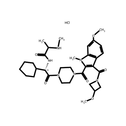 CNC(C)C(=O)N[C@H](C(=O)N1CCN(C(=O)c2c(C(=O)N3CC(OC)C3)c3ccc(OC)cc3n2C)CC1)C1CCCCC1.Cl